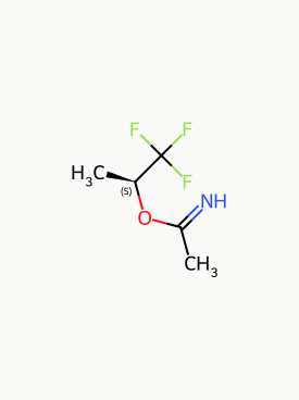 CC(=N)O[C@@H](C)C(F)(F)F